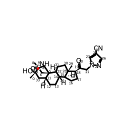 C[C@@]1(O)CC[C@@]2(CS(C)(=N)=O)[C@H](CC[C@H]3[C@@H]4CC[C@H](C(=O)Cn5cc(C#N)cn5)[C@@]4(C)CC[C@@H]32)C1